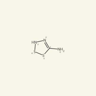 NC1=NNSS1